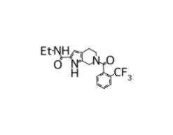 CCNC(=O)c1cc2c([nH]1)CN(C(=O)c1ccccc1C(F)(F)F)CC2